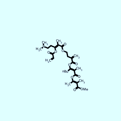 C=CC(=O)OC(CCN(C)C)=C(C)C(=O)OCCC(=C)C(=O)OC(CCCC)=C(C)C(=O)OC(C)=C(C)C(=O)OC